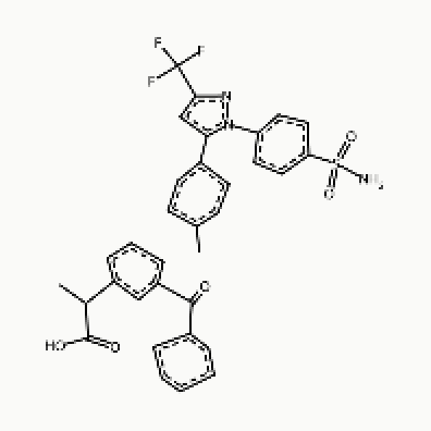 CC(C(=O)O)c1cccc(C(=O)c2ccccc2)c1.Cc1ccc(-c2cc(C(F)(F)F)nn2-c2ccc(S(N)(=O)=O)cc2)cc1